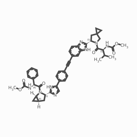 COC(=O)N[C@H](C(=O)N1CC2(CC2)C[C@H]1c1nc2ccc(C#Cc3ccc(-c4cnc([C@@H]5C[C@H]6C[C@H]6N5C(=O)[C@H](NC(=O)OC)c5ccccc5)[nH]4)cc3)cc2[nH]1)C(C)C